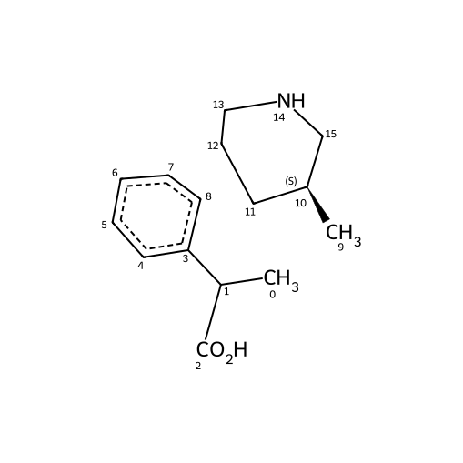 CC(C(=O)O)c1ccccc1.C[C@H]1CCCNC1